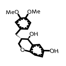 COc1ccc(C[C@H]2COc3ccc(O)cc3[C@@H]2O)cc1OC